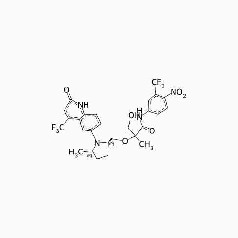 C[C@@H]1CC[C@H](COC(C)(CO)C(=O)Nc2ccc([N+](=O)[O-])c(C(F)(F)F)c2)N1c1ccc2[nH]c(=O)cc(C(F)(F)F)c2c1